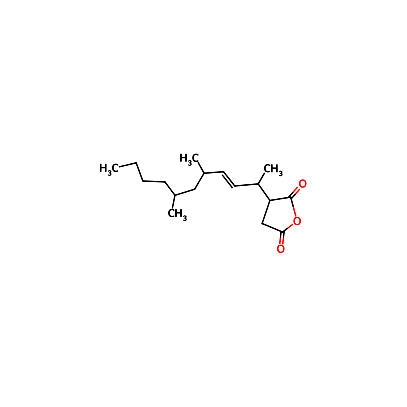 CCCCC(C)CC(C)/C=C/C(C)C1CC(=O)OC1=O